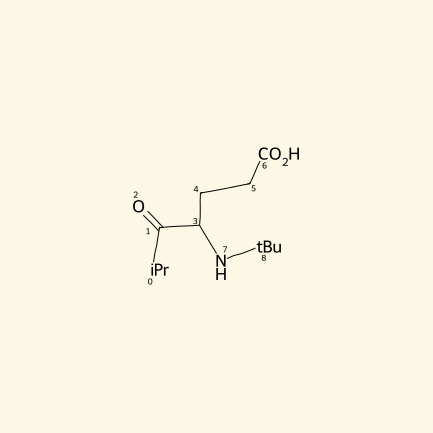 CC(C)C(=O)C(CCC(=O)O)NC(C)(C)C